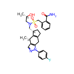 C[C@H](O)CN(C[C@@H]1CCC2=C1[C@@H](C)c1cnn(-c3ccc(F)cc3)c1C2)S(=O)(=O)Cc1ccccc1C(N)=O